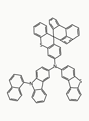 c1ccc2c(c1)Sc1cc(N(c3ccc4sc5ccccc5c4c3)c3ccc4c(c3)c3ccccc3n4-c3cccc4ccccc34)ccc1C21c2ccccc2-c2cccc3cccc1c23